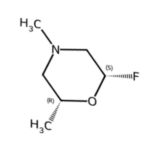 C[C@@H]1CN(C)C[C@H](F)O1